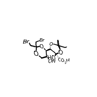 CC1(C)O[C@@H]([C@@H]2OC(CBr)(CBr)OC[C@@H]2O)[C@@](O)(C(=O)O)O1